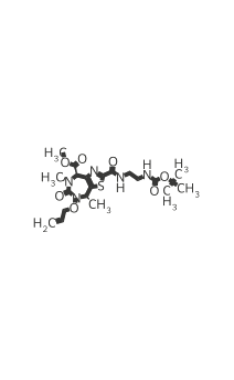 C=CCON1C(=O)N(C)[C@@H](C(=O)OC)c2nc(C(=O)NCCNC(=O)OC(C)(C)C)sc2[C@@H]1C